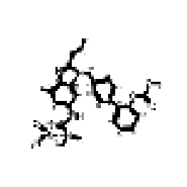 CCCc1nc2c(C)cc(NC(=NS(N)(=O)=O)N(C)C)cc2n1Cc1ccc(-c2ccccc2OC(=O)OC)cc1